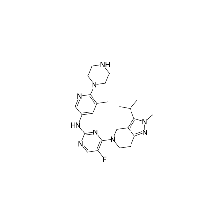 Cc1cc(Nc2ncc(F)c(N3CCc4nn(C)c(C(C)C)c4C3)n2)cnc1N1CCNCC1